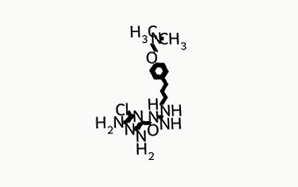 CN(C)CCOc1ccc(CCCCNC(=N)NC(=O)c2nc(Cl)c(N)nc2N)cc1